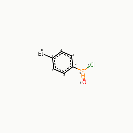 CCc1ccc([PH](=O)Cl)cc1